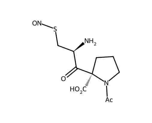 CC(=O)N1CCC[C@]1(C(=O)O)C(=O)[C@H](N)CSN=O